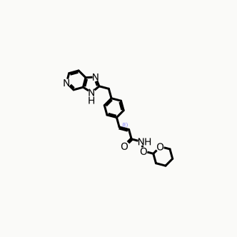 O=C(/C=C/c1ccc(Cc2nc3ccncc3[nH]2)cc1)NOC1CCCCO1